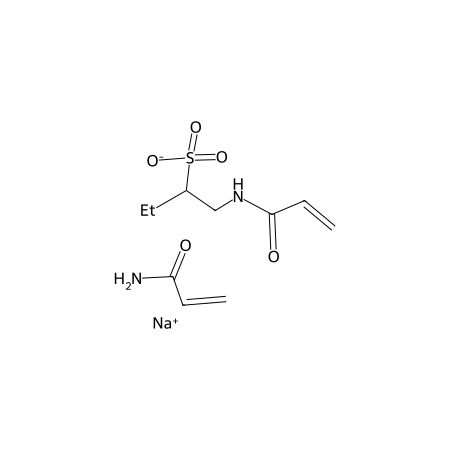 C=CC(=O)NCC(CC)S(=O)(=O)[O-].C=CC(N)=O.[Na+]